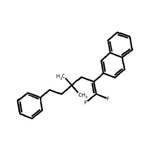 CC(C)(CCc1ccccc1)CC(=C(F)F)c1ccc2ccccc2c1